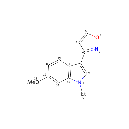 CCn1cc(-c2ccon2)c2ccc(OC)cc21